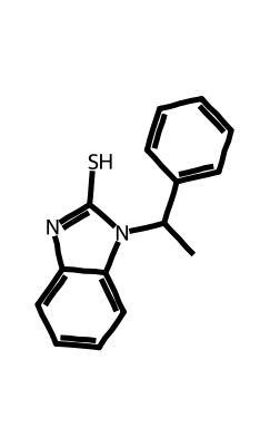 CC(c1ccccc1)n1c(S)nc2ccccc21